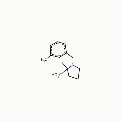 CC1(C(=O)O)CCCN1Cc1cccc(C(F)(F)F)c1